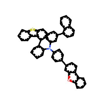 c1cc(-c2cccc3ccccc23)cc(N(c2ccc(-c3ccc4c(c3)oc3ccccc34)cc2)c2ccccc2-c2cccc3sc4ccccc4c23)c1